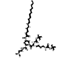 CCCCCCCCCCCCCCCC(=O)N[C@H]1C[C@@H](C(=O)NCCN(C)C)N(C(=O)[C@@H](CCCCNC(=O)OC(C)(C)C)NC(=O)OC(C)(C)C)C1